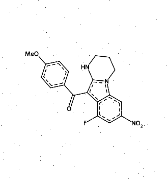 COc1ccc(C(=O)c2c3n(c4cc([N+](=O)[O-])cc(F)c24)CCCN3)cc1